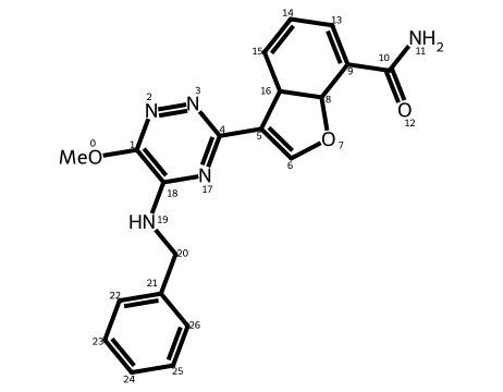 COc1nnc(C2=COC3C(C(N)=O)=CC=CC23)nc1NCc1ccccc1